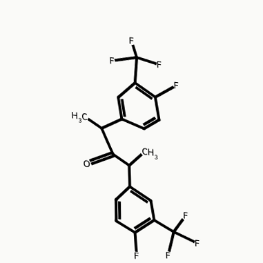 CC(C(=O)C(C)c1ccc(F)c(C(F)(F)F)c1)c1ccc(F)c(C(F)(F)F)c1